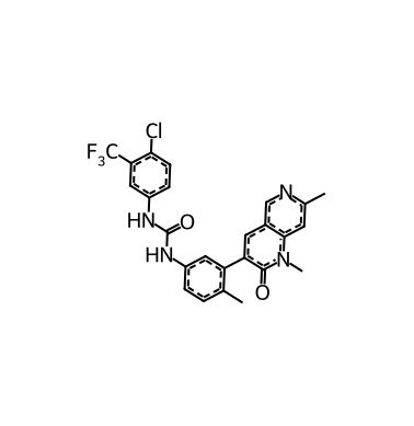 Cc1cc2c(cn1)cc(-c1cc(NC(=O)Nc3ccc(Cl)c(C(F)(F)F)c3)ccc1C)c(=O)n2C